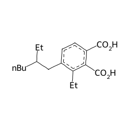 CCCCC(CC)Cc1ccc(C(=O)O)c(C(=O)O)c1CC